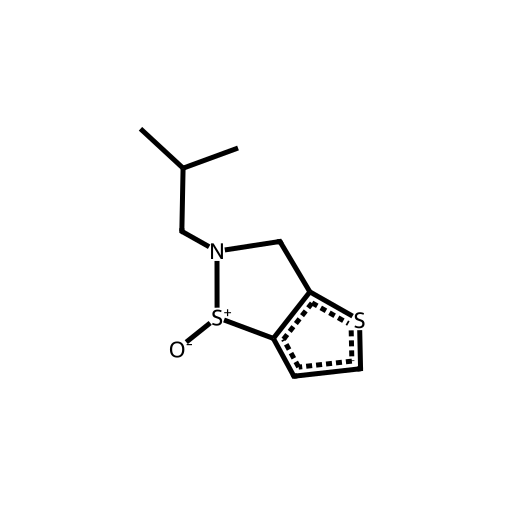 CC(C)CN1Cc2sccc2[S+]1[O-]